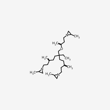 C=C(CCN1CC1C)CCC(CC)(CCC(=C)CCN1CC1C)COC(=C)CCN1CC1C